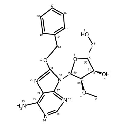 CO[C@@H]1[C@H](O)[C@@H](CO)O[C@H]1n1c(OCc2ccccc2)nc2c(N)ncnc21